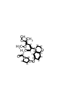 C=C/C(=C\C(OC)=C(/C)OC)N1CCOc2ccc(O[C@H]3CCN(C=O)C3)cc21